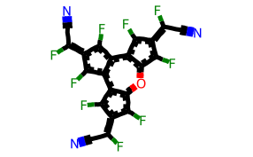 N#C/C(F)=c1/c(F)c2oc3c(F)/c(=C(/F)C#N)c(F)c3c3c(F)/c(=C(/F)C#N)c(F)c3c2c1F